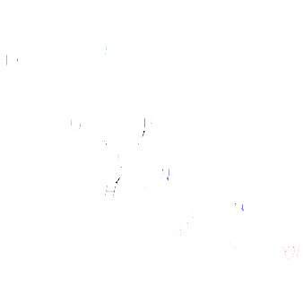 Cc1cc(F)cc(O[C@@H]2C[C@@H]3CN(CC(=O)c4ccc(O)cn4)C[C@@H]3C2)c1